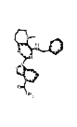 CN1CCCCc2nc(-n3ncc4c(C(N)=O)cccc43)nc(NCc3ccccc3)c21